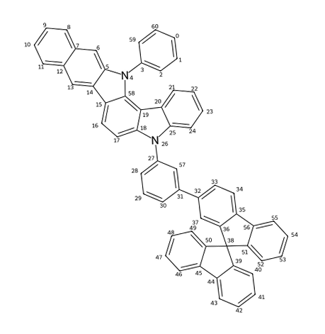 c1ccc(-n2c3cc4ccccc4cc3c3ccc4c(c5ccccc5n4-c4cccc(-c5ccc6c(c5)C5(c7ccccc7-c7ccccc75)c5ccccc5-6)c4)c32)cc1